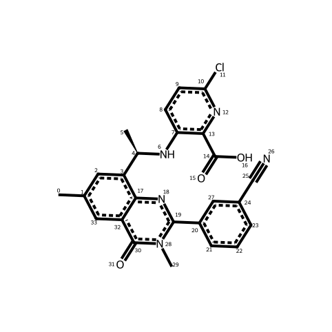 Cc1cc([C@@H](C)Nc2ccc(Cl)nc2C(=O)O)c2nc(-c3cccc(C#N)c3)n(C)c(=O)c2c1